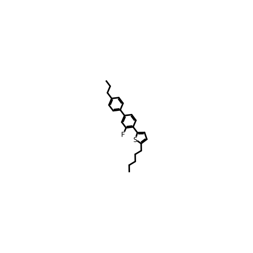 CCCCCc1ccc(-c2ccc(-c3ccc(CCC)cc3)cc2F)s1